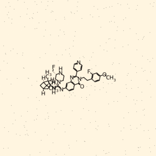 COc1ccc(CCn2c(-c3ccncc3)nc3cc(N=C(N[C@H]4C[C@@H]5C[C@@H]([C@H]4C)C5(C)C)N4CCN[C@@H](CF)C4)ccc3c2=O)c(F)c1